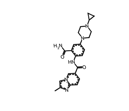 Cc1cn2cc(C(=O)Nc3ccc(N4CCN(C5CC5)CC4)cc3C(N)=O)ccc2n1